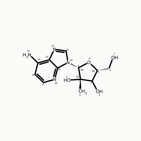 C[C@]1(O)C(O)[C@@H](CO)O[C@H]1n1cnc2c(N)ccnc21